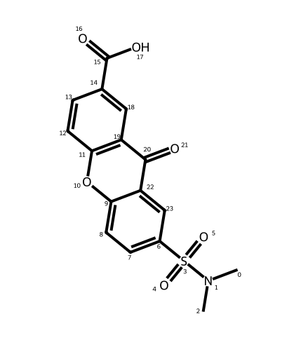 CN(C)S(=O)(=O)c1ccc2oc3ccc(C(=O)O)cc3c(=O)c2c1